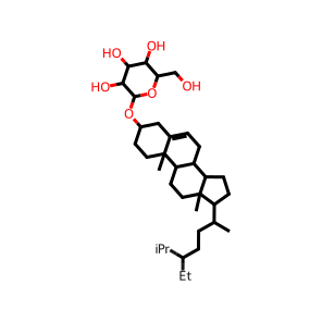 CCC(CCC(C)C1CCC2C3CC=C4CC(OC5OC(CO)C(O)C(O)C5O)CCC4(C)C3CCC12C)C(C)C